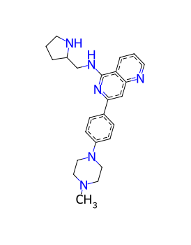 CN1CCN(c2ccc(-c3cc4ncccc4c(NCC4CCCN4)n3)cc2)CC1